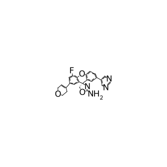 NC1=N[C@]2(CO1)c1cc(-c3cncnc3)ccc1Oc1c(F)cc(C3=CCOCC3)cc12